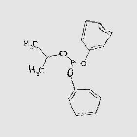 CC(C)OP(Oc1ccccc1)Oc1ccccc1